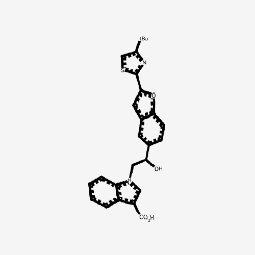 CC(C)(C)c1csc(-c2cc3cc(C(O)Cn4cc(C(=O)O)c5ccccc54)ccc3o2)n1